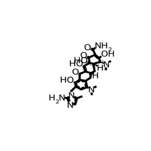 Cc1cnc(N)n1Cc1cc(N(C)C)c2c(c1O)C(=O)C1=C(O)[C@]3(O)C(=O)C(C(N)=O)=C(O)[C@@H](N(C)C)[C@@H]3C[C@@H]1C2